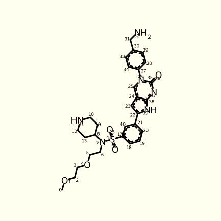 COCCOCCN(C1CCNCC1)S(=O)(=O)c1cccc(-c2cc3cn(-c4ccc(CN)cc4)c(=O)nc3[nH]2)c1